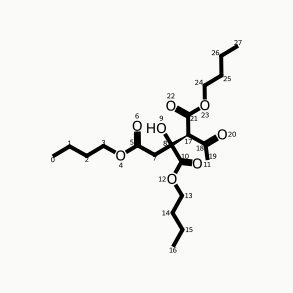 CCCCOC(=O)CC(O)(C(=O)OCCCC)[C@H](C(C)=O)C(=O)OCCCC